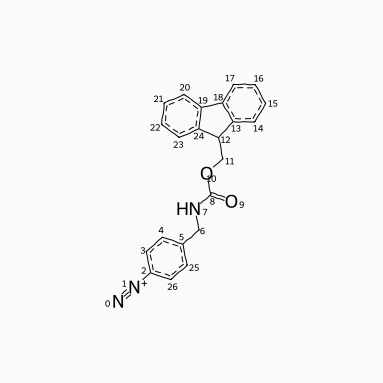 N#[N+]c1ccc(CNC(=O)OCC2c3ccccc3-c3ccccc32)cc1